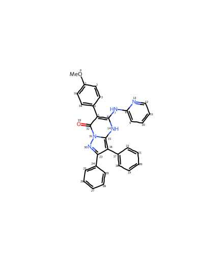 COc1ccc(-c2c(Nc3ccccn3)[nH]c3c(-c4ccccc4)c(-c4ccccc4)nn3c2=O)cc1